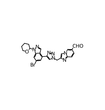 O=Cc1ccc2nc(Cn3cc(-c4cc(Br)cc5c4cnn5C4CCCCO4)nn3)cn2c1